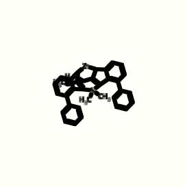 CCC1=C2c3c(-c4ccccc4)cccc3[CH]1[Zr][CH]1C(CC)=C(c3c(-c4ccccc4)cccc31)[Si]2(C)C